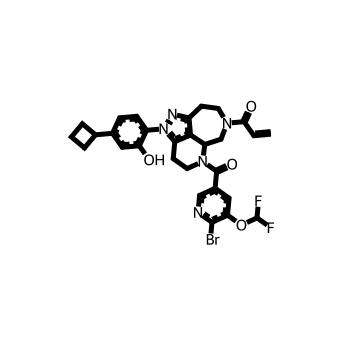 C=CC(=O)N1CCc2nn(-c3ccc(C4CCC4)cc3O)c3c2C(C1)N(C(=O)c1cnc(Br)c(OC(F)F)c1)CC3